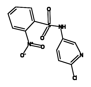 O=[N+]([O-])c1ccccc1S(=O)(=O)Nc1ccc(Cl)nc1